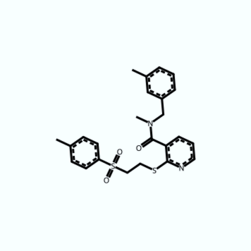 Cc1ccc(S(=O)(=O)CCSc2ncccc2C(=O)N(C)Cc2cccc(C)c2)cc1